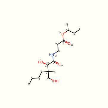 CCCCC(C)(CO)[C@@H](O)C(=O)NCCC(=O)OC(C)CC